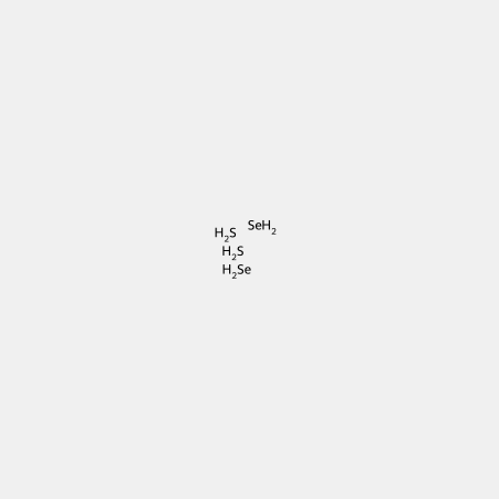 S.S.[SeH2].[SeH2]